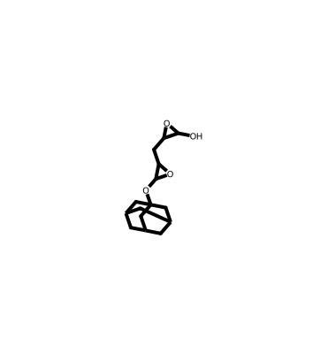 OC1OC1CC1OC1OC12CC3CC(CC(C3)C1)C2